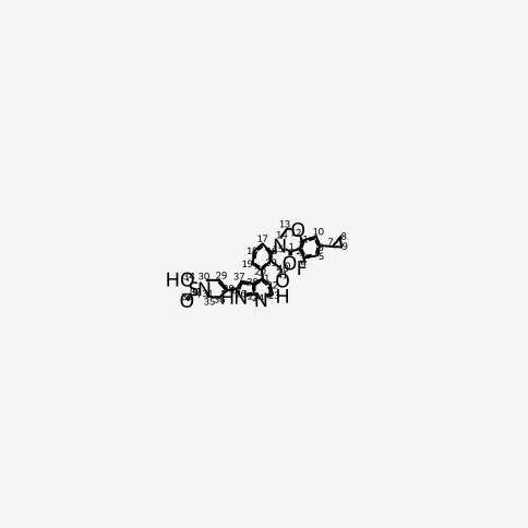 O=C1c2c(F)cc(C3CC3)cc2OCCN1c1cccc(-c2ccnc3[nH]c(C4=CCN([S@@](=O)O)CC4)cc23)c1CO